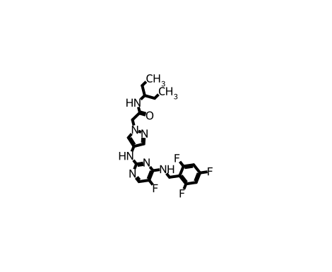 CCC(CC)NC(=O)Cn1cc(Nc2ncc(F)c(NCc3c(F)cc(F)cc3F)n2)cn1